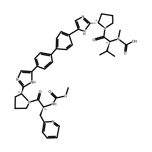 COC(=O)N[C@@H](Cc1ccccn1)C(=O)N1CCC[C@H]1c1ncc(-c2ccc(-c3ccc(-c4cnc([C@@H]5CCCN5C(=O)[C@H](C(C)C)N(C)C(=O)O)[nH]4)cc3)cc2)[nH]1